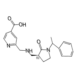 CC(c1ccccc1)N1CC[C@@H](CNCc2cc(C(=O)O)ccn2)C1=O